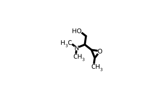 CC1OC1C(CO)N(C)C